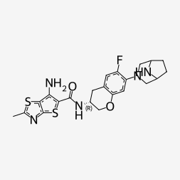 Cc1nc2sc(C(=O)N[C@H]3COc4cc(N5CC6CCC(C5)N6)c(F)cc4C3)c(N)c2s1